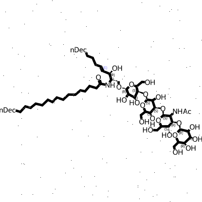 CCCCCCCCCCCCC/C=C/[C@@H](O)[C@H](CO[C@@H]1OC(CO)[C@@H](O[C@@H]2OC(CO)[C@H](O)[C@H](O[C@@H]3OC(CO)[C@@H](O)[C@H](O[C@@H]4OC(CO)[C@H](O)[C@H](O)C4O)C3NC(C)=O)C2O)[C@H](O)C1O)NC(=O)CCCCCCCCCCCCCCCCCCCCCCCCC